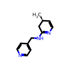 C[C@H]1C=CN=C(NCc2ccncc2)C1